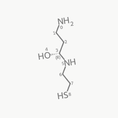 NCC[C@@H](O)NCCS